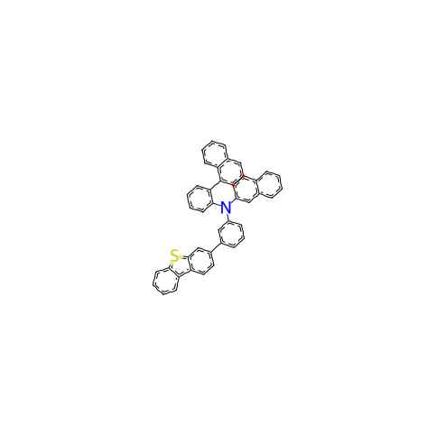 c1cc(-c2ccc3c(c2)sc2ccccc23)cc(N(c2ccc3ccccc3c2)c2ccccc2-c2cccc3ccccc23)c1